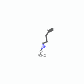 C#CCCCNCC=O